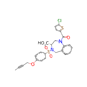 CC#CCOc1ccc(S(=O)(=O)N2Cc3ccccc3N(C(=O)c3ccc(Cl)s3)CC2C(=O)O)cc1